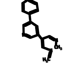 C=N/C=C(\C=N/C)c1cncc(-c2ccccc2)c1